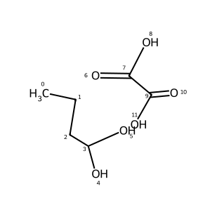 CCCC(O)O.O=C(O)C(=O)O